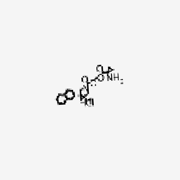 Cl.NC1(C(=O)OCOC(=O)N2C[C@H]3C[C@@]3(c3ccc4ccccc4c3)C2)CC1